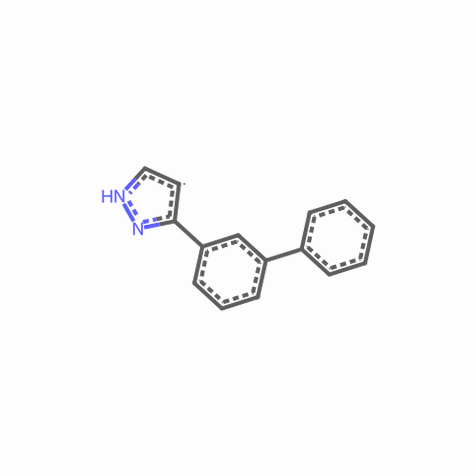 [c]1c[nH]nc1-c1cccc(-c2ccccc2)c1